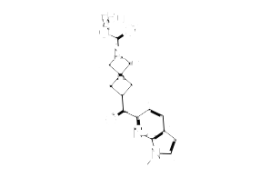 Cn1ccc2ccc(C(=O)C3CC4(C3)CN(C(=O)OC(C)(C)C)C4)nc21